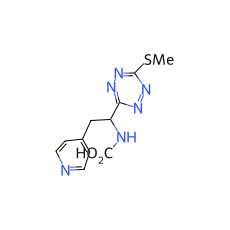 CSc1nnc(C(Cc2ccncc2)NC(=O)O)nn1